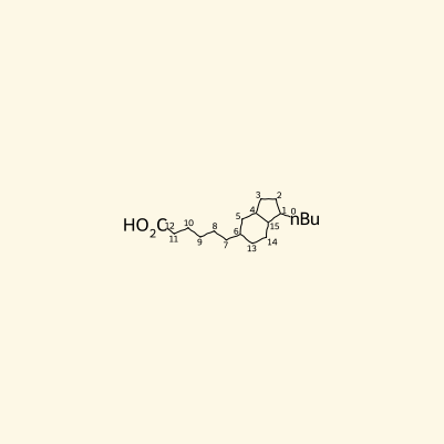 CCCCC1CCC2CC(CCCCCC(=O)O)CCC12